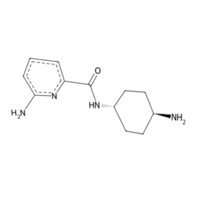 Nc1cccc(C(=O)N[C@H]2CC[C@H](N)CC2)n1